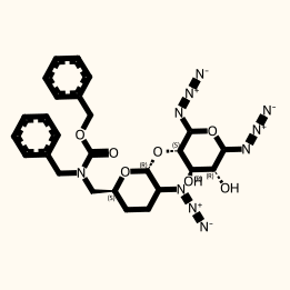 [N-]=[N+]=NC1CC[C@@H](CN(Cc2ccccc2)C(=O)OCc2ccccc2)O[C@@H]1O[C@@H]1C(N=[N+]=[N-])OC(N=[N+]=[N-])[C@H](O)[C@H]1O